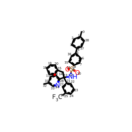 Cc1ccc(-c2ccc(S(=O)(=O)NC(Cc3ccccc3)(c3cccc(C(F)(F)F)c3)c3ccc(C)cn3)cc2)cc1